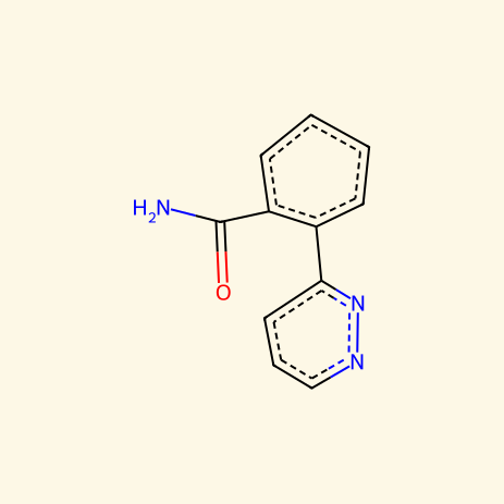 NC(=O)c1ccccc1-c1cccnn1